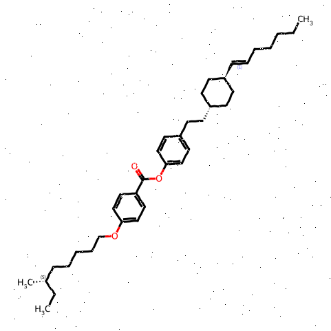 CCCCC/C=C/[C@H]1CC[C@H](CCc2ccc(OC(=O)c3ccc(OCCCCC[C@@H](C)CC)cc3)cc2)CC1